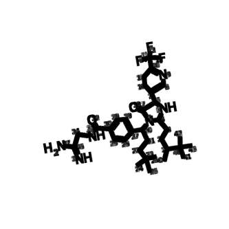 CC(CCC1NC(C2=CN=C(C(F)(F)F)CC2)C(=O)N1C(CCC(C)(C)C)c1ccc(C(=O)NCC(=N)N)cc1)C(C)(C)C